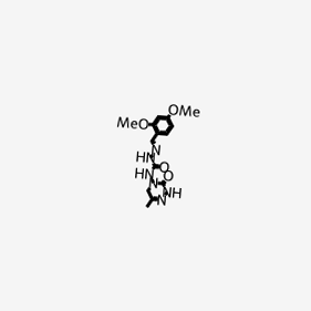 COc1ccc(/C=N/NC(=O)NN2CC(C)=NNC2=O)c(OC)c1